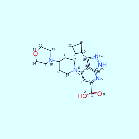 O=C(O)c1cc(N2CCC(N3CCOCC3)CC2)c2c(C3CCC3)n[nH]c2n1